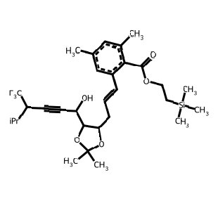 Cc1cc(C)c(C(=O)OCC[Si](C)(C)C)c(/C=C/CC2OC(C)(C)OC2C(O)C#CC(C(C)C)C(F)(F)F)c1